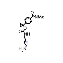 CNC(=O)c1ccc(C2(OC(=O)NC/C=C/CN)CC2)cc1